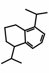 CC(C)c1cccc2c1CCCC2C(C)C